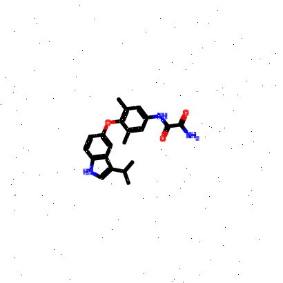 Cc1cc(NC(=O)C(N)=O)cc(C)c1Oc1ccc2[nH]cc(C(C)C)c2c1